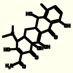 Cc1ccc(O)c2c1C(O)C1CC3C(N(C)C)C(O)=C(C(N)=O)C(=O)C3(O)C(O)=C1C2=O